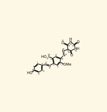 COc1cc(N=Nc2ccc(O)cc2)c(S(=O)(=O)O)cc1N=NC1C(=O)NC(=O)NC1=O